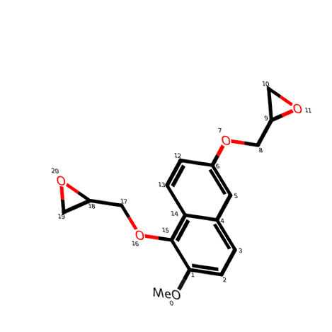 COc1ccc2cc(OCC3CO3)ccc2c1OCC1CO1